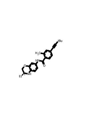 CC[C@H]1COc2cc(NC(=O)c3ccc(C#CC(C)(C)C)cc3C)ccc2N1